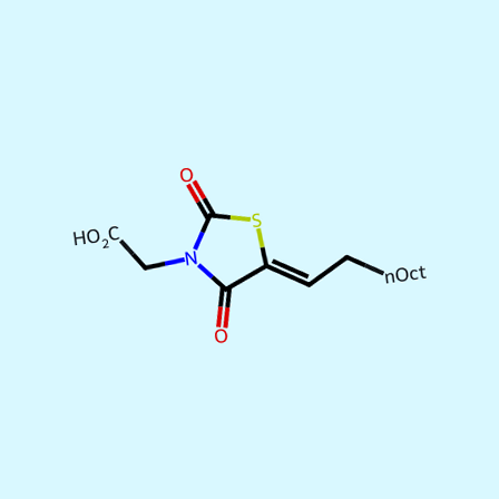 CCCCCCCCC/C=C1\SC(=O)N(CC(=O)O)C1=O